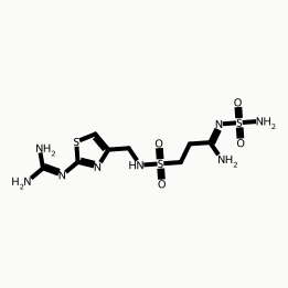 NC(N)=Nc1nc(CNS(=O)(=O)CC/C(N)=N/S(N)(=O)=O)cs1